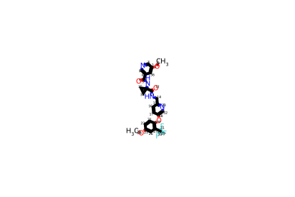 COc1cncc(C(=O)NC2(C(=O)NCc3ccc(Oc4ccc(OC)cc4C(F)(F)F)cn3)CC2)c1